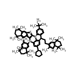 Cc1cc2c(cc1CCC1c3ccc(C(C)(C)C)cc3B3c4sc5cc6c(cc5c4N(c4cc5c(cc4C)C(C)(C)CCC5(C)C)c4cc(C5CCCCC5)cc1c43)C(C)(C)CCC6(C)C)C(C)(C)CCC2(C)C